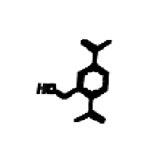 C=C(C)c1ccc(C(=C)C)c(CO)c1